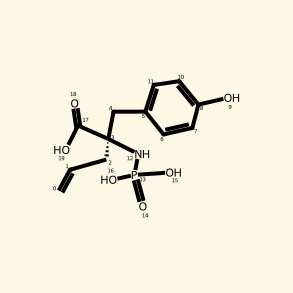 C=CC[C@](Cc1ccc(O)cc1)(NP(=O)(O)O)C(=O)O